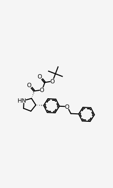 CC(C)(C)OC(=O)OC(=O)[C@H]1NCC[C@H]1c1ccc(OCc2ccccc2)cc1